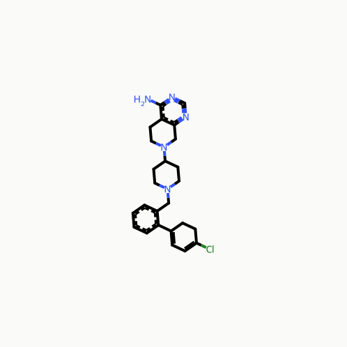 Nc1ncnc2c1CCN(C1CCN(Cc3ccccc3C3=CC=C(Cl)CC3)CC1)C2